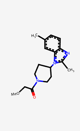 COCC(=O)N1CCC(n2c(C)nc3ccc(C)cc32)CC1